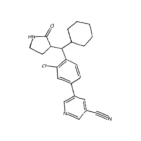 N#Cc1cncc(-c2ccc(C(C3CCCCC3)C3CCNC3=O)c(Cl)c2)c1